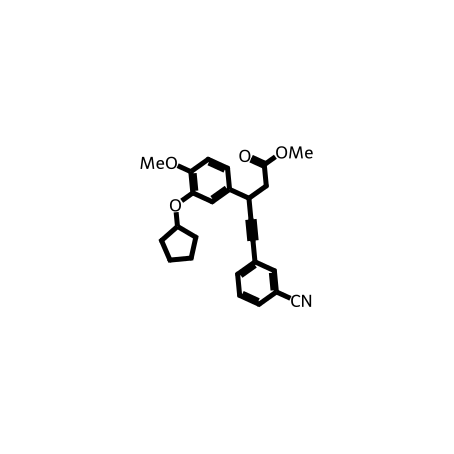 COC(=O)CC(C#Cc1cccc(C#N)c1)c1ccc(OC)c(OC2CCCC2)c1